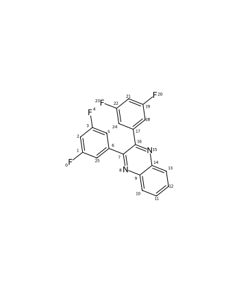 Fc1cc(F)cc(-c2nc3ccccc3nc2-c2cc(F)cc(F)c2)c1